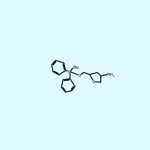 CC(C)(C)[Si](OCC1CC(N)CO1)(c1ccccc1)c1ccccc1